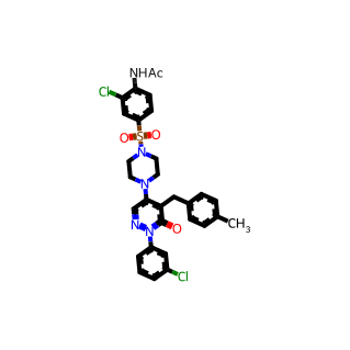 CC(=O)Nc1ccc(S(=O)(=O)N2CCN(c3cnn(-c4cccc(Cl)c4)c(=O)c3Cc3ccc(C)cc3)CC2)cc1Cl